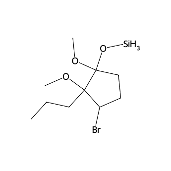 CCCC1(OC)C(Br)CCC1(OC)O[SiH3]